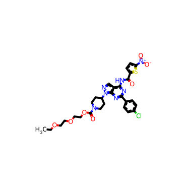 CCOCCOCCOC(=O)N1CCC(n2ncc3c(NC(=O)c4ccc([N+](=O)[O-])s4)nc(-c4ccc(Cl)cc4)nc32)CC1